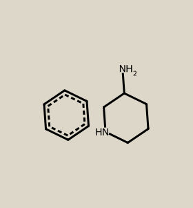 NC1CCCNC1.c1ccccc1